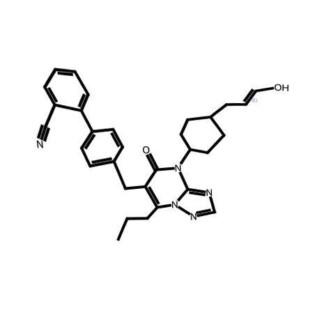 CCCc1c(Cc2ccc(-c3ccccc3C#N)cc2)c(=O)n(C2CCC(C/C=C/O)CC2)c2ncnn12